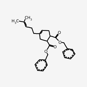 CC(C)=CCCC1=CCC(C(=O)OCc2ccccc2)C(C(=O)OCc2ccccc2)C1